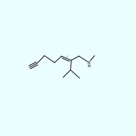 C#CCC/C=C(/CNC)C(C)C